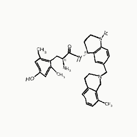 CC(=O)N1CC[C@@H](NC(=O)[C@@H](N)Cc2c(C)cc(O)cc2C)c2cc(CN3CCc4cccc(C(F)(F)F)c4C3)ccc21